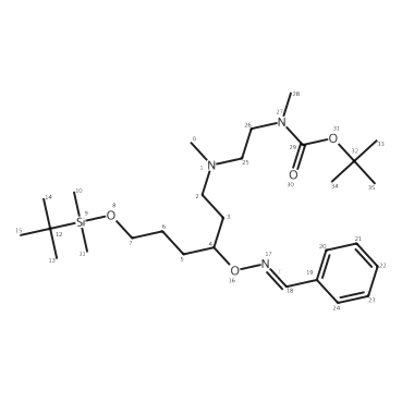 CN(CCC(CCCO[Si](C)(C)C(C)(C)C)O/N=C/c1ccccc1)CCN(C)C(=O)OC(C)(C)C